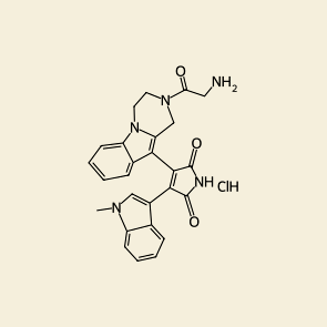 Cl.Cn1cc(C2=C(c3c4n(c5ccccc35)CCN(C(=O)CN)C4)C(=O)NC2=O)c2ccccc21